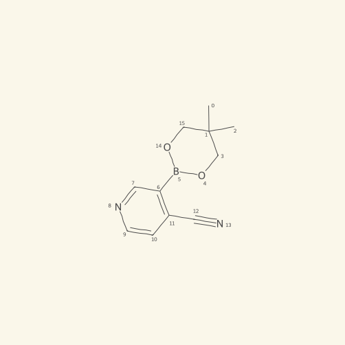 CC1(C)COB(c2cnccc2C#N)OC1